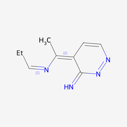 CC/C=N\C(C)=C1\C=CN=NC1=N